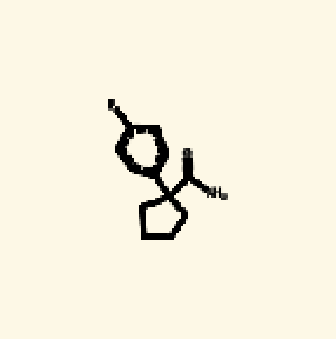 NC(=O)C1(c2ccc(F)cc2)CCCC1